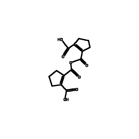 O=C(O)C1=C(C(=O)OC(=O)C2=C(C(=O)O)CCC2)CCC1